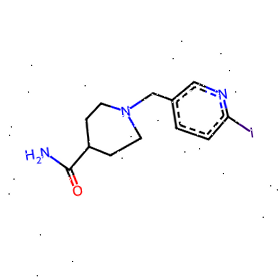 NC(=O)C1CCN(Cc2ccc(I)nc2)CC1